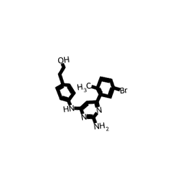 Cc1ccc(Br)cc1-c1cc(Nc2ccc(CCO)cc2)nc(N)n1